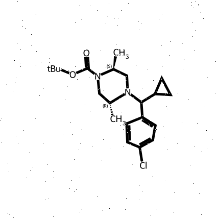 C[C@@H]1CN(C(=O)OC(C)(C)C)[C@@H](C)CN1C(c1ccc(Cl)cc1)C1CC1